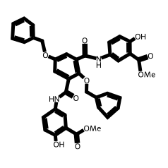 COC(=O)c1cc(NC(=O)c2cc(OCc3ccccc3)cc(C(=O)Nc3ccc(O)c(C(=O)OC)c3)c2OCc2ccccc2)ccc1O